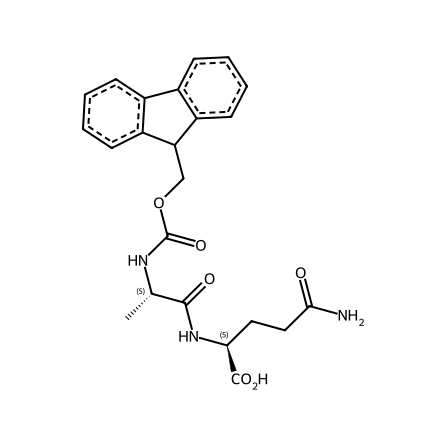 C[C@H](NC(=O)OCC1c2ccccc2-c2ccccc21)C(=O)N[C@@H](CCC(N)=O)C(=O)O